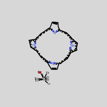 C1=Cc2cc3ccc(cc4nc(cc5ccc(cc1n2)[nH]5)C=C4)[nH]3.C[CH2][V]([CH2]C)([CH2]C)([CH2]C)([CH2]C)([CH2]C)([CH2]C)[CH2]C